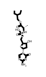 CCC(CC)COC(=O)[C@H](C)NP(=O)(O)OCC1S[C@@H](n2cnc(N)nc2=O)C[C@H]1O